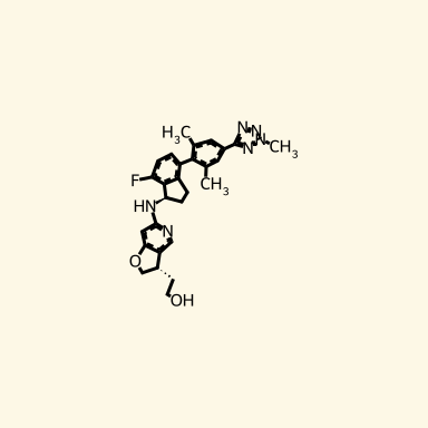 Cc1cc(-c2nnn(C)n2)cc(C)c1-c1ccc(F)c2c1CC[C@H]2Nc1cc2c(cn1)[C@H](CCO)CO2